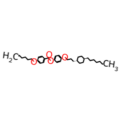 C=CCCCCOc1ccc(C(=O)Oc2ccc(OCCC[C@H]3CC[C@H](CCCCCCC)CC3)cc2)cc1